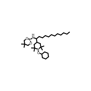 CCCCCCCCCCCC(NP1OCC(C)(C)CO1)C1CC(C)(C)N(OC2CCCCC2)C(C)(C)C1